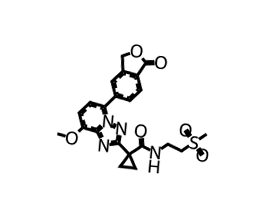 COc1ccc(-c2ccc3c(c2)COC3=O)n2nc(C3(C(=O)NCCS(C)(=O)=O)CC3)nc12